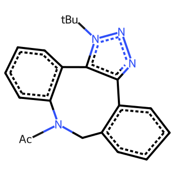 CC(=O)N1Cc2ccccc2-c2nnn(C(C)(C)C)c2-c2ccccc21